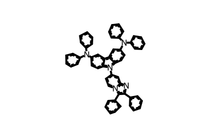 c1ccc(-c2nc3cc(-n4c5ccc(N(c6ccccc6)c6ccccc6)cc5c5cc(N(c6ccccc6)c6ccccc6)ccc54)ccn3c2-c2ccccc2)cc1